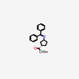 COC(=O)[C@H]1CCC(N=C(c2ccccc2)c2ccccc2)C1